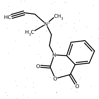 C#CC[N+](C)(C)CCn1c(=O)oc(=O)c2ccccc21